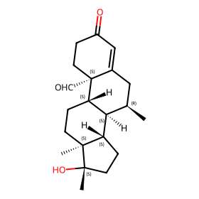 C[C@@H]1CC2=CC(=O)CC[C@]2(C=O)[C@H]2CC[C@@]3(C)[C@@H](CC[C@]3(C)O)[C@H]12